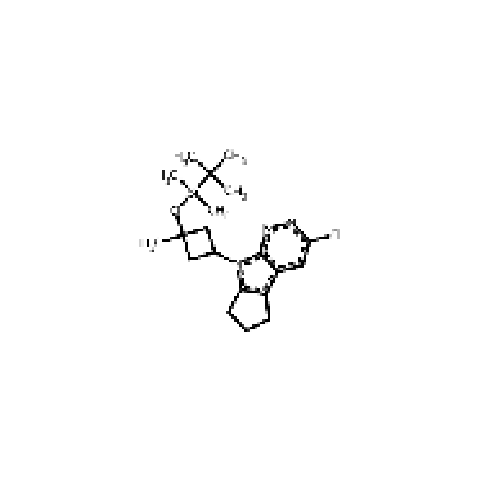 CC1(O[Si](C)(C)C(C)(C)C)CC(n2c3c(c4cc(Cl)nnc42)CCC3)C1